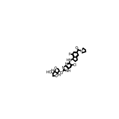 O=C(c1cc(F)c2c(c1)CCC2Nc1nc2nc(O[C@@H]3CO[C@H]4[C@@H]3OC[C@H]4O)[nH]c2cc1Cl)N1CCCC1